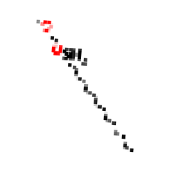 CCCCCCCCCCCCCC[SiH2]OCCOC